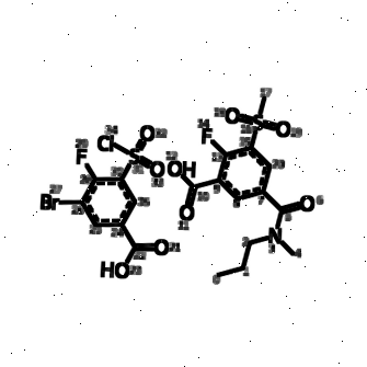 CCCN(C)C(=O)c1cc(C(=O)O)c(F)c(S(C)(=O)=O)c1.O=C(O)c1cc(Br)c(F)c(S(=O)(=O)Cl)c1